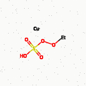 CCOOS(=O)(=O)O.[Cu]